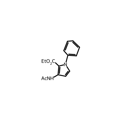 CCOC(=O)c1c(NC(C)=O)ccn1-c1ccccc1